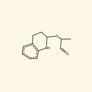 CC([C]=O)OC1CCc2ccccc2N1